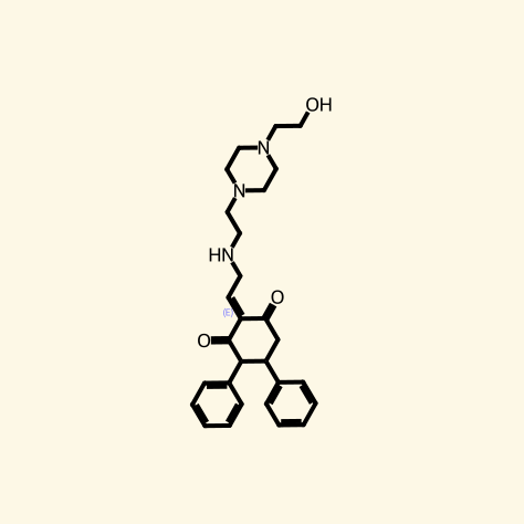 O=C1CC(c2ccccc2)C(c2ccccc2)C(=O)/C1=C/CNCCN1CCN(CCO)CC1